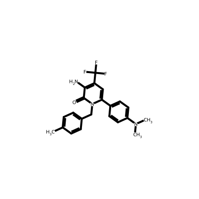 Cc1ccc(Cn2c(-c3ccc(N(C)C)cc3)cc(C(F)(F)F)c(N)c2=O)cc1